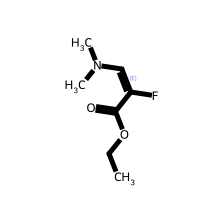 CCOC(=O)/C(F)=C\N(C)C